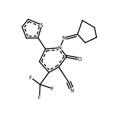 N#Cc1c(C(F)(F)F)cc(-c2cccs2)n(N=C2CCCC2)c1=O